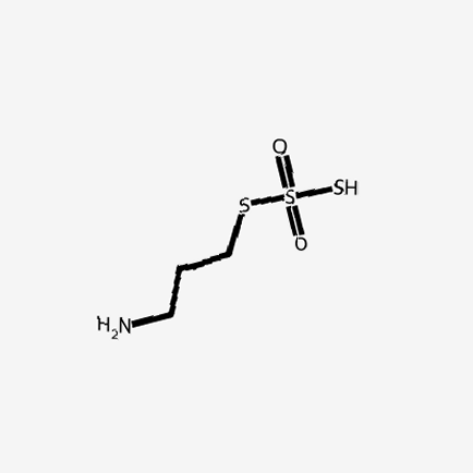 NCCCSS(=O)(=O)S